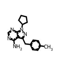 Cc1ccc(Cc2nn(C3CCCC3)c3ncnc(N)c23)cc1